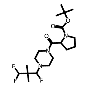 CC(C)(C)OC(=O)N1CCCC1C(=O)N1CCN(C(F)C(C)(C)C(F)F)CC1